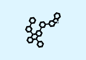 c1ccc(-c2cccc(-c3c4ccccc4c(-c4ccccc4)c4ccc(-c5cccc(-c6ccc7sc8ccccc8c7c6)c5)cc34)c2)cc1